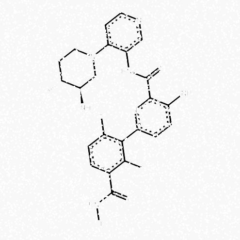 CC(C)NC(=O)c1ccc(F)c(-c2ccc(N)c(C(=O)Nc3cnccc3N3CC[C@@H](F)[C@H](N)C3)n2)c1F